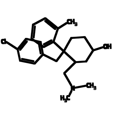 Cc1ccccc1C1(Cc2ccc(Cl)cc2)CCC(O)CC1CN(C)C